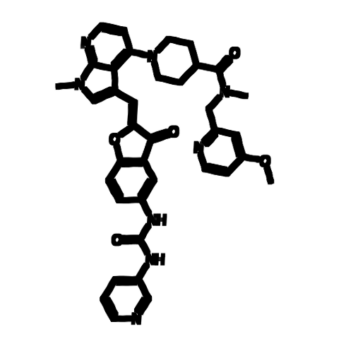 COc1ccnc(CN(C)C(=O)C2CCN(c3ccnc4c3c(C=C3Oc5ccc(NC(=O)Nc6cccnc6)cc5C3=O)cn4C)CC2)c1